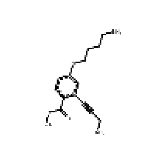 COC(=O)c1ccc(OCCCCN)cc1C#CCN